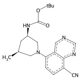 C[C@H]1C[C@@H](NC(=O)OC(C)(C)C)CN(c2ccc(C#N)c3ncncc23)C1